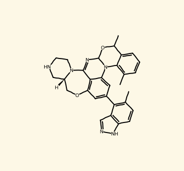 Cc1cccc2c1N1c3cc(-c4c(C)ccc5[nH]ncc45)cc4c3C(=NC1OC2C)N1CCNC[C@H]1CO4